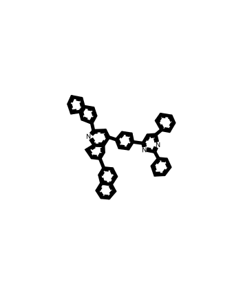 c1ccc(-c2cc(-c3ccc(-c4cc(-c5ccc6ccccc6c5)nc5ccc(-c6ccc7ccccc7c6)cc45)cc3)nc(-c3ccccc3)n2)cc1